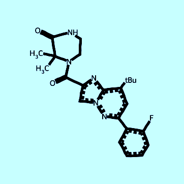 CC(C)(C)c1cc(-c2ccccc2F)nn2cc(C(=O)N3CCNC(=O)C3(C)C)nc12